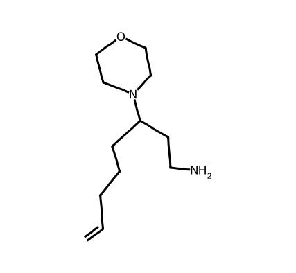 C=CCCCC(CCN)N1CCOCC1